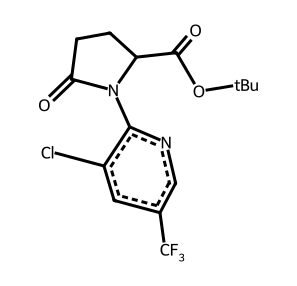 CC(C)(C)OC(=O)C1CCC(=O)N1c1ncc(C(F)(F)F)cc1Cl